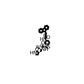 N#C[C@H](C[C@@H]1CCNC1=O)NC(=O)[C@@H]1CSC2CC[C@H](NC(=O)OCC3c4ccccc4-c4ccccc43)C(=O)N21